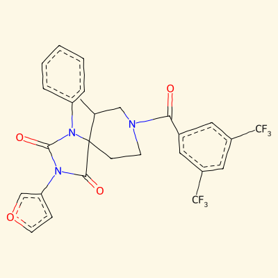 CC1CN(C(=O)c2cc(C(F)(F)F)cc(C(F)(F)F)c2)CCC12C(=O)N(c1ccoc1)C(=O)N2c1ccccc1